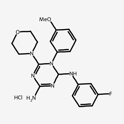 COc1cccc(N2C(N3CCOCC3)=NC(N)=NC2Nc2cccc(F)c2)c1.Cl